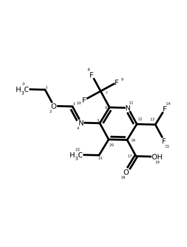 CCOC=Nc1c(C(F)(F)F)nc(C(F)F)c(C(=O)O)c1CC